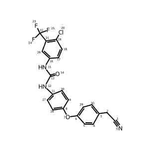 N#CCc1ccc(Oc2ccc(NC(=O)Nc3ccc(Cl)c(C(F)(F)F)c3)cc2)cc1